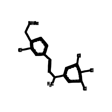 CC(=O)NCc1ccc(/C=C/C(c2cc(Cl)c(Cl)c(Cl)c2)C(F)(F)F)cc1Cl